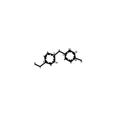 CCc1ccc(Cc2ccc(C)cc2)cc1